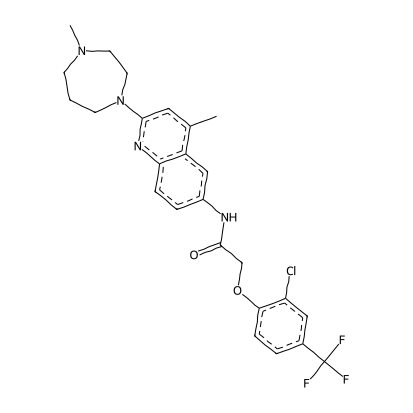 Cc1cc(N2CCCN(C)CC2)nc2ccc(NC(=O)COc3ccc(C(F)(F)F)cc3Cl)cc12